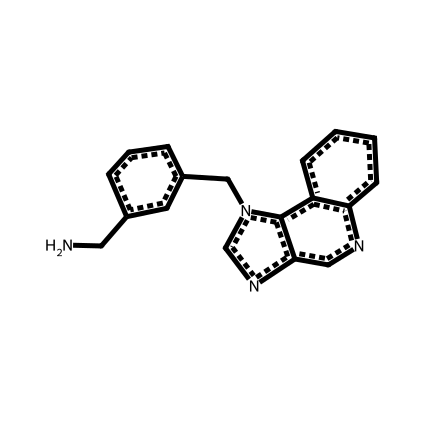 NCc1cccc(Cn2cnc3cnc4ccccc4c32)c1